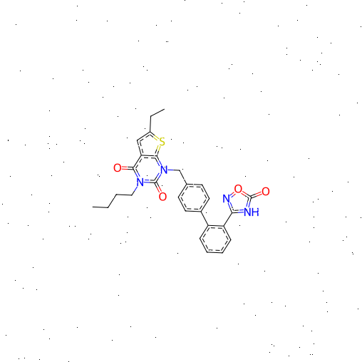 CCCCn1c(=O)c2cc(CC)sc2n(Cc2ccc(-c3ccccc3-c3noc(=O)[nH]3)cc2)c1=O